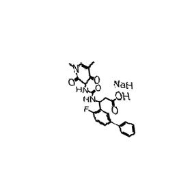 CC1=CN(C)C(=O)C(NC(=O)NC(CC(=O)O)c2cc(-c3ccccc3)ccc2F)C1=O.[NaH]